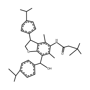 Cc1c(NC(=O)CC(C)(C)C)c(C)c2c(c1C(O)c1ccc(C(C)C)cc1)OCC2c1ccc(C(C)C)cc1